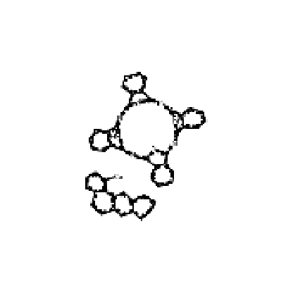 [Cu][c]1cccc2ccc3cc4ccccc4cc3c12.c1ccc2c(c1)-c1nc-2nc2[nH]c(nc3nc(nc4[nH]c(n1)c1ccccc41)-c1ccccc1-3)c1ccccc21